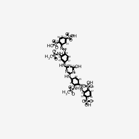 CS(=O)(=O)Nc1cc(Nc2nc(O)nc(Nc3ccc(/N=N/c4cc(S(=O)(=O)O)ccc4S(=O)(=O)O)c(NS(C)(=O)=O)c3)n2)ccc1/N=N/c1cc(S(=O)(=O)O)ccc1S(=O)(=O)O